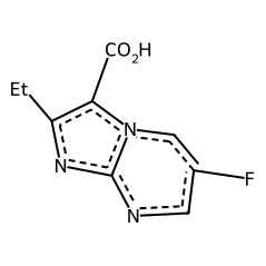 CCc1nc2ncc(F)cn2c1C(=O)O